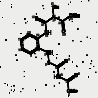 COC(=O)NC(=O)SNc1ccccc1NC(=S)N(C(=O)OC)C(C)(C)C